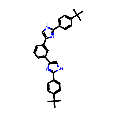 CC(C)(C)c1ccc(-c2nc(-c3cccc(-c4c[nH]c(-c5ccc(C(C)(C)C)cc5)n4)c3)c[nH]2)cc1